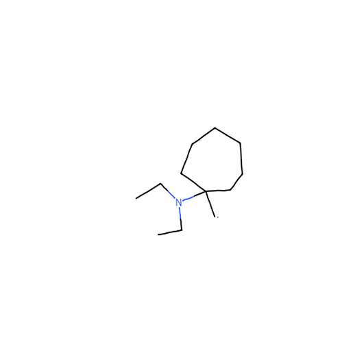 [CH2]C1(N(CC)CC)CCCCCC1